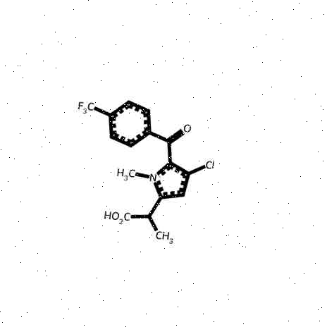 CC(C(=O)O)c1cc(Cl)c(C(=O)c2ccc(C(F)(F)F)cc2)n1C